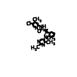 Cc1ncc(N(C)C[C@@]2(c3ccccc3)C[C@H]2C(=O)Nc2cc(C)c(Cl)cn2)c(C)n1